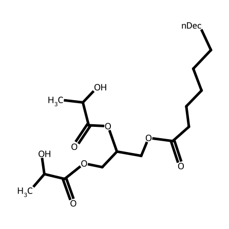 CCCCCCCCCCCCCCCC(=O)OCC(COC(=O)C(C)O)OC(=O)C(C)O